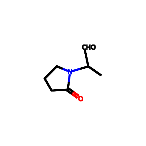 CC(C=O)N1CCCC1=O